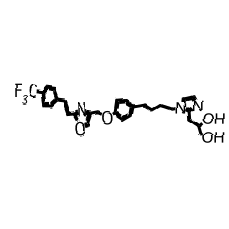 OCC(O)Cc1nccn1CCCCc1ccc(OCc2coc(C=Cc3ccc(C(F)(F)F)cc3)n2)cc1